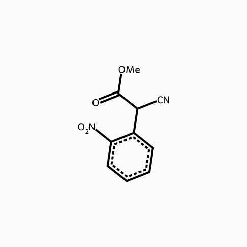 COC(=O)C(C#N)c1ccccc1[N+](=O)[O-]